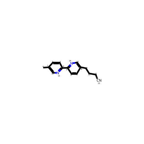 Cc1ccc(-c2ccc(CCCC#N)cn2)nc1